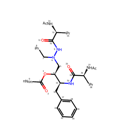 CCCCCCCCCC(=O)O[C@@H](CN(CC(C)C)NC(=O)[C@@H](NC(C)=O)C(C)C)[C@H](Cc1ccccc1)NC(=O)[C@@H](NC(C)=O)C(C)C